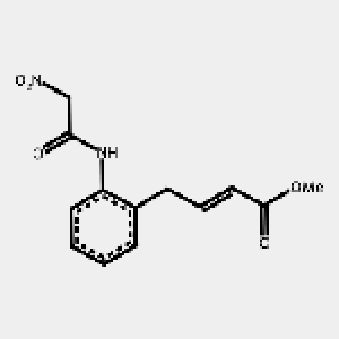 COC(=O)C=CCc1ccccc1NC(=O)C[N+](=O)[O-]